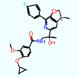 COc1cc(C(=O)NCC(C)(O)c2cc3c(c(-c4ccc(F)cc4)n2)OC[C@H]3C)ccc1OC1CC1